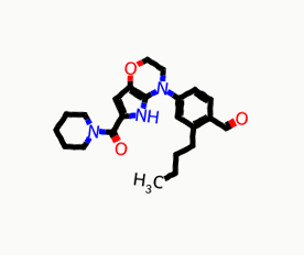 CCCCc1cc(N2CCOc3cc(C(=O)N4CCCCC4)[nH]c32)ccc1C=O